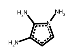 Nc1ccn(N)c1N